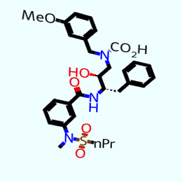 CCCS(=O)(=O)N(C)c1cccc(C(=O)N[C@@H](Cc2ccccc2)[C@@H](O)CN(Cc2cccc(OC)c2)C(=O)O)c1